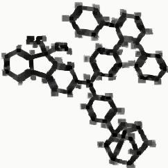 CC1(C)c2ccccc2-c2ccc(N(c3ccc(-c4c(-c5ccccc5)cccc4-c4ccccc4)cc3)c3ccc(C45CC6CC(CC(C6)C4)C5)cc3)cc21